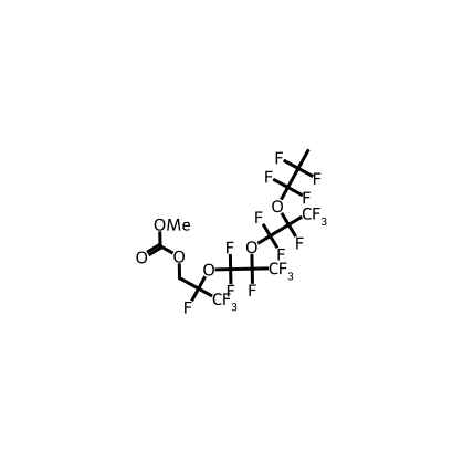 COC(=O)OCC(F)(OC(F)(F)C(F)(OC(F)(F)C(F)(OC(F)(F)C(C)(F)F)C(F)(F)F)C(F)(F)F)C(F)(F)F